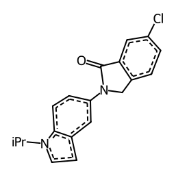 CC(C)n1ccc2cc(N3Cc4ccc(Cl)cc4C3=O)ccc21